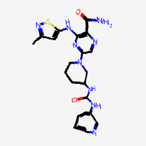 Cc1cc(Nc2nc(N3CCCC(NC(=O)Nc4cccnc4)C3)cnc2C(N)=O)sn1